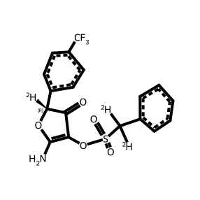 [2H]C([2H])(c1ccccc1)S(=O)(=O)OC1=C(N)O[C@]([2H])(c2ccc(C(F)(F)F)cc2)C1=O